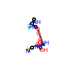 Cc1ncsc1-c1ccc(CNC(=O)[C@@H]2C[C@@H](O)CN2C(=O)[C@@H](NC(=O)COCCCOCCOc2ccc([C@@H]3c4[nH]c5ccccc5c4C[C@@H](C)N3CC(F)F)nc2)C(C)(C)C)cc1